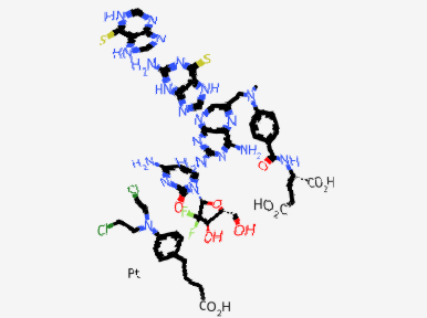 CN(Cc1cnc2nc(N)nc(N)c2n1)c1ccc(C(=O)N[C@@H](CCC(=O)O)C(=O)O)cc1.Nc1ccn([C@@H]2O[C@H](CO)[C@@H](O)C2(F)F)c(=O)n1.Nc1nc(=S)c2[nH]cnc2[nH]1.O=C(O)CCCc1ccc(N(CCCl)CCCl)cc1.S=c1[nH]cnc2nc[nH]c12.[Pt]